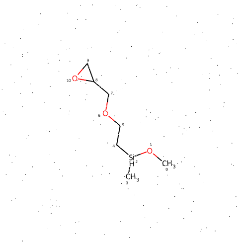 CO[SiH](C)CCOCC1CO1